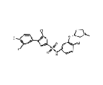 CN1CC[C@@H](Oc2cc(NS(=O)(=O)c3cc(-c4ccc(Cl)c(Cl)c4)c(Cl)s3)ccc2Cl)C1